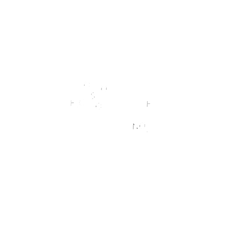 O=[N+]([O-])c1cc(OS(=O)(=O)C(F)(F)F)ccc1F